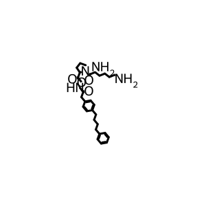 NCCCCC(N)C(=O)N1CCCC1C(=O)ONC(=O)Cc1ccc(CCCCc2ccccc2)cc1